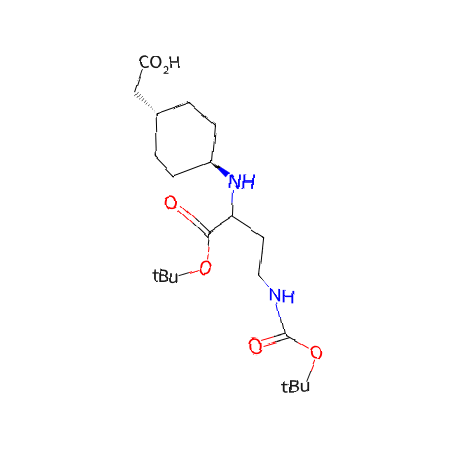 CC(C)(C)OC(=O)NCCC(N[C@H]1CC[C@H](CC(=O)O)CC1)C(=O)OC(C)(C)C